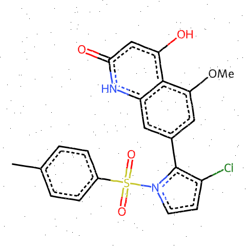 COc1cc(-c2c(Cl)ccn2S(=O)(=O)c2ccc(C)cc2)cc2[nH]c(=O)cc(O)c12